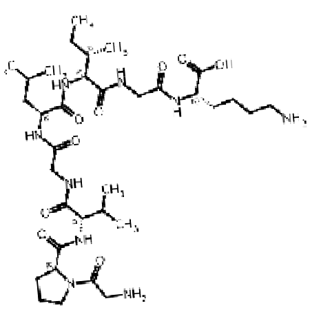 CC[C@H](C)[C@H](NC(=O)[C@H](CC(C)C)NC(=O)CNC(=O)[C@@H](NC(=O)[C@@H]1CCCN1C(=O)CN)C(C)C)C(=O)NCC(=O)N[C@@H](CCCCN)C(=O)O